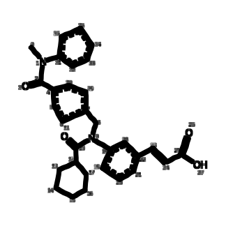 CN(C(=O)c1ccc(CN(C(=O)C2CCCCC2)c2cccc(C=CC(=O)O)c2)cc1)c1ccccc1